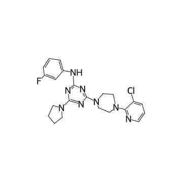 Fc1cccc(Nc2nc(N3CCCC3)nc(N3CCN(c4ncccc4Cl)CC3)n2)c1